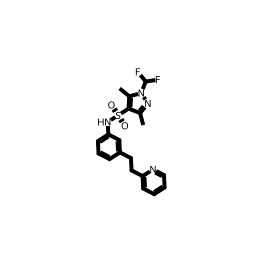 Cc1nn(C(F)F)c(C)c1S(=O)(=O)Nc1cccc(CCc2ccccn2)c1